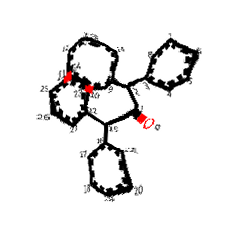 O=C(C(c1ccccc1)c1ccccc1)C(c1ccccc1)c1ccccc1